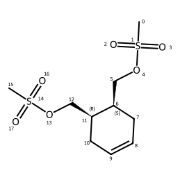 CS(=O)(=O)OC[C@H]1CC=CC[C@H]1COS(C)(=O)=O